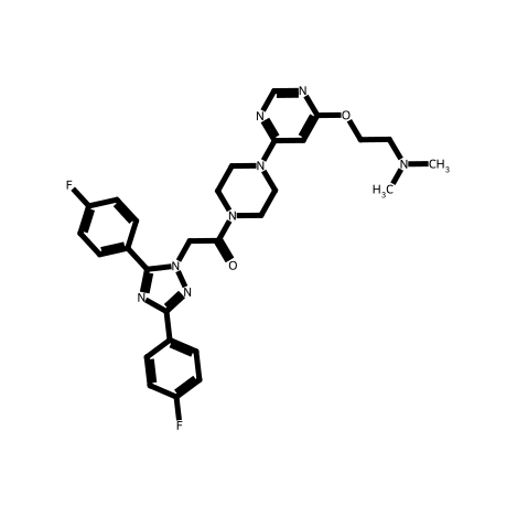 CN(C)CCOc1cc(N2CCN(C(=O)Cn3nc(-c4ccc(F)cc4)nc3-c3ccc(F)cc3)CC2)ncn1